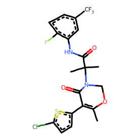 CC1=C(c2ccc(Cl)s2)C(=O)N(C(C)(C)C(=O)Nc2cc(C(F)(F)F)ccc2F)CO1